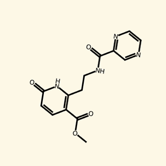 COC(=O)c1ccc(=O)[nH]c1CCNC(=O)c1cnccn1